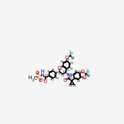 CS(=O)(=O)NC(=O)c1ccc([C@H]2C[C@@H](NC(=O)C3(c4ccc5c(c4)OC(F)(F)O5)CC3)c3ccc(OC(F)F)cc3O2)cc1